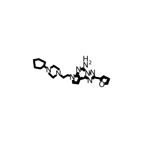 Nc1nc2c(ccn2CCN2CCN(C3CCCCC3)CC2)c2nc(-c3ccco3)nn12